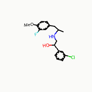 COc1ccc(CC(C)NCC(O)c2cccc(Cl)c2)cc1F